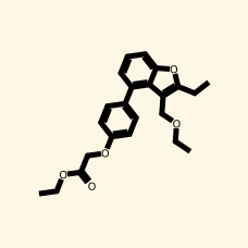 CCOCc1c(CC)oc2cccc(-c3ccc(OCC(=O)OCC)cc3)c12